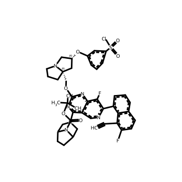 C#Cc1c(F)ccc2cccc(-c3ncc4c(N5CC6CCC(C5)N6C(=O)OC(C)(C)C)nc(OC[C@]56CCCN5C[C@H](Oc5cccc(S(=O)(=O)Cl)c5)C6)nc4c3F)c12